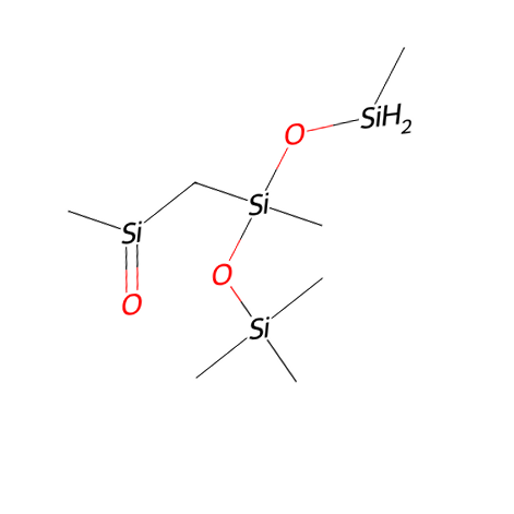 C[SiH2]O[Si](C)(C[Si](C)=O)O[Si](C)(C)C